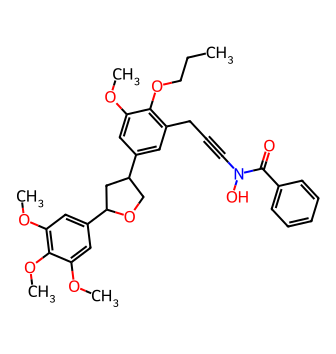 CCCOc1c(CC#CN(O)C(=O)c2ccccc2)cc(C2COC(c3cc(OC)c(OC)c(OC)c3)C2)cc1OC